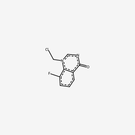 O=c1ncn(CCl)c2c(F)cccc12